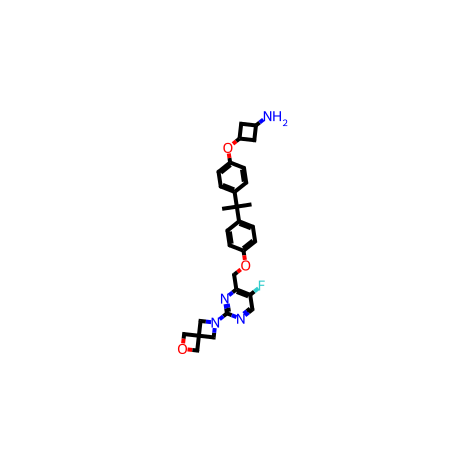 CC(C)(c1ccc(OCc2nc(N3CC4(COC4)C3)ncc2F)cc1)c1ccc(OC2CC(N)C2)cc1